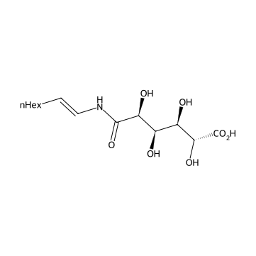 CCCCCC/C=C/NC(=O)[C@@H](O)[C@H](O)[C@@H](O)[C@@H](O)C(=O)O